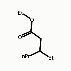 C[CH]OC(=O)CC(CC)CCC